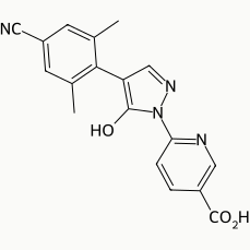 Cc1cc(C#N)cc(C)c1-c1cnn(-c2ccc(C(=O)O)cn2)c1O